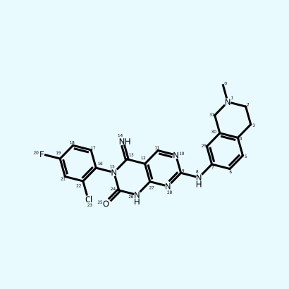 CN1CCc2ccc(Nc3ncc4c(=N)n(-c5ccc(F)cc5Cl)c(=O)[nH]c4n3)cc2C1